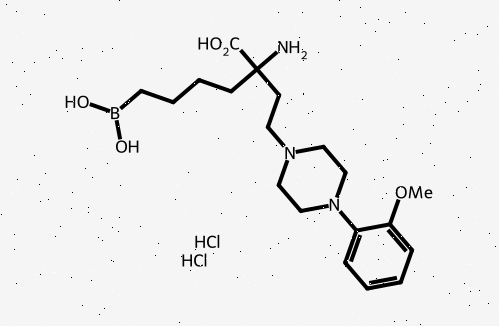 COc1ccccc1N1CCN(CCC(N)(CCCCB(O)O)C(=O)O)CC1.Cl.Cl